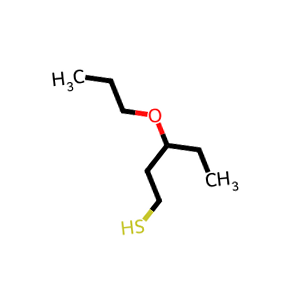 CCCOC(CC)CCS